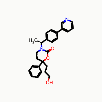 C[C@@H](c1ccc(-c2cccnc2)cc1)N1CCC(CCCO)(c2ccccc2)OC1=O